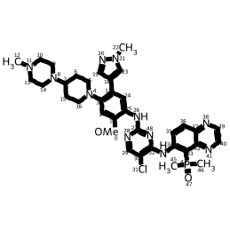 COc1cc(N2CCC(N3CCN(C)CC3)CC2)c(-c2cnn(C)c2)cc1Nc1ncc(Cl)c(Nc2ccc3nccnc3c2P(C)(C)=O)n1